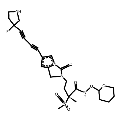 C[C@@](CCN1Cc2cc(C#CC#CC3(F)CCNC3)cn2C1=O)(C(=O)NOC1CCCCO1)S(C)(=O)=O